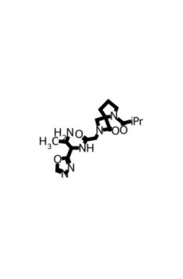 CC(C)C(=O)N1CCCC12CN(CC(=O)NC(c1nnco1)C(C)N)C2=O